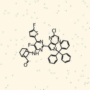 O=[C]C1C2CCC(CC2)C1Nc1nc(-c2cn(C(c3ccccc3)(c3ccccc3)c3ccccc3)c3ncc(Cl)nc23)nc(-c2ccc(F)s2)c1F